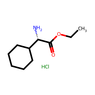 CCOC(=O)[C@@H](N)C1CCCCC1.Cl